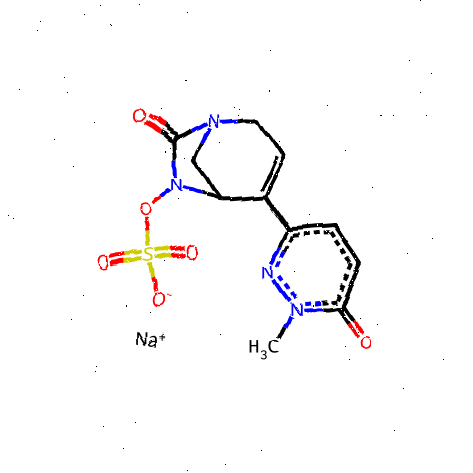 Cn1nc(C2=CCN3CC2N(OS(=O)(=O)[O-])C3=O)ccc1=O.[Na+]